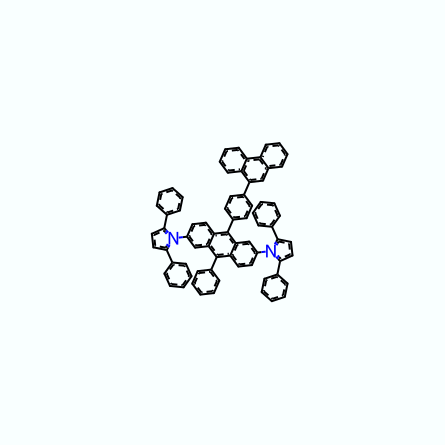 c1ccc(-c2c3ccc(-n4c(-c5ccccc5)ccc4-c4ccccc4)cc3c(-c3ccc(-c4cc5ccccc5c5ccccc45)cc3)c3ccc(-n4c(-c5ccccc5)ccc4-c4ccccc4)cc23)cc1